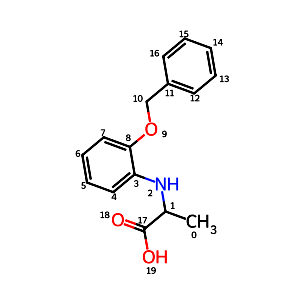 CC(Nc1ccccc1OCc1ccccc1)C(=O)O